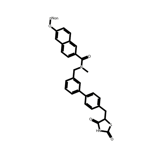 CCCCCCCCCOc1ccc2cc(C(=O)N(C)Cc3cccc(-c4ccc(CC5SC(=O)NC5=O)cc4)c3)ccc2c1